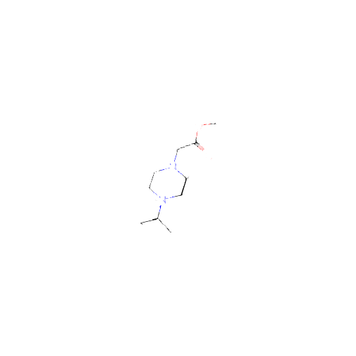 COC(=O)CN1CCN(C(C)C)CC1